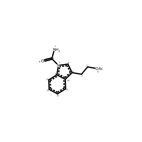 CC(=O)OCCc1cn(C(N)=O)c2ccccc12